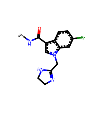 CC(C)NC(=O)c1cn(CC2=NCCN2)c2cc(Br)ccc12